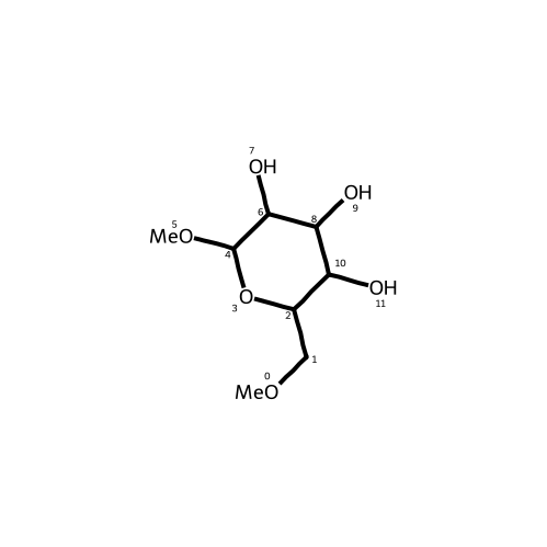 COCC1OC(OC)C(O)C(O)C1O